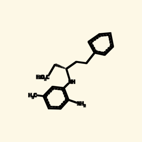 CCOC(=O)C[C@H](CCc1ccccc1)Nc1cc(C)ccc1N